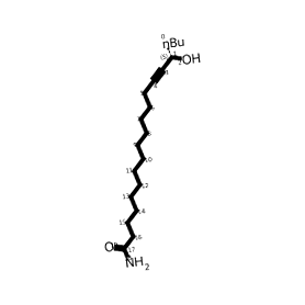 CCCC[C@H](O)C#CCCCCCCCCCCCCC(N)=O